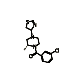 C[C@@H]1CN(C2CSC=N2)CCN1C(=O)c1cccc(Cl)c1